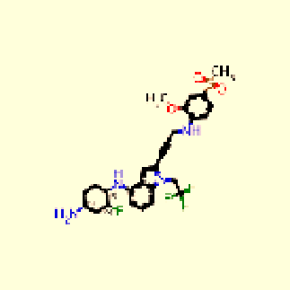 COc1cc(S(C)(=O)=O)ccc1NCC#Cc1cc2c(N[C@@H]3CC[C@H](N)C[C@@H]3F)cccc2n1CC(F)(F)F